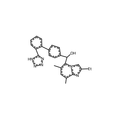 CCc1cn2c(C(O)c3ccc(-c4ccccc4-c4nnn[nH]4)cc3)c(C)cc(C)c2n1